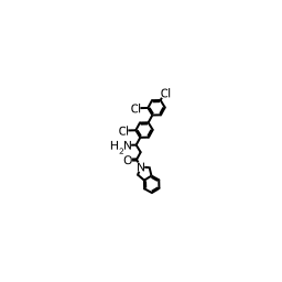 NC(CC(=O)N1Cc2ccccc2C1)c1ccc(-c2ccc(Cl)cc2Cl)cc1Cl